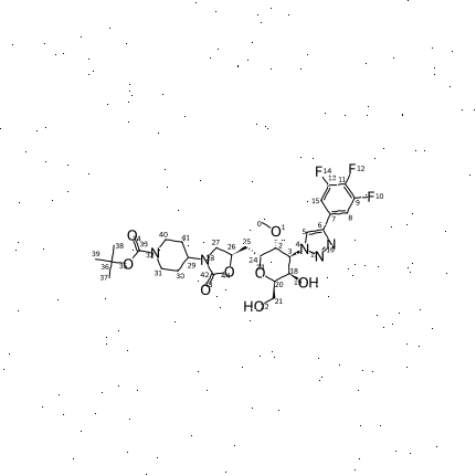 CO[C@@H]1[C@@H](n2cc(-c3cc(F)c(F)c(F)c3)nn2)[C@@H](O)[C@@H](CO)O[C@@H]1C[C@@H]1CN(C2CCN(C(=O)OC(C)(C)C)CC2)C(=O)O1